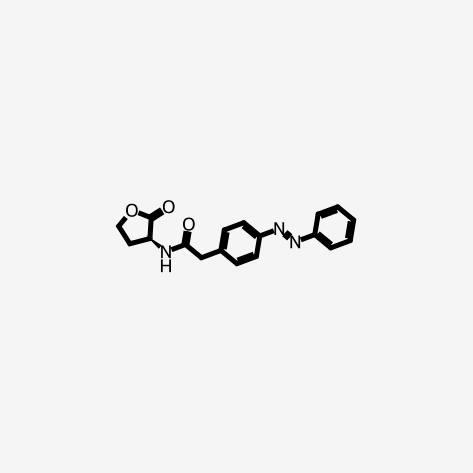 O=C(Cc1ccc(/N=N/c2ccccc2)cc1)N[C@H]1CCOC1=O